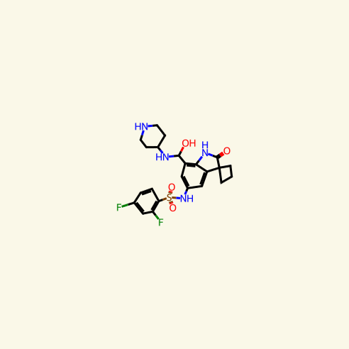 O=C1Nc2c(C(O)NC3CCNCC3)cc(NS(=O)(=O)c3ccc(F)cc3F)cc2C12CCC2